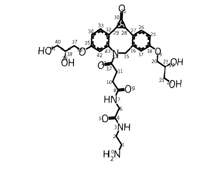 NCCNC(=O)CNC(=O)CCC(=O)N1Cc2cc(OC[C@@H](O)CO)ccc2-c2c(c2=O)-c2ccc(OC[C@@H](O)CO)cc21